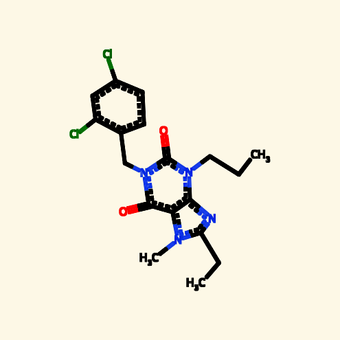 CCCn1c(=O)n(Cc2ccc(Cl)cc2Cl)c(=O)c2c1nc(CC)n2C